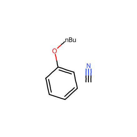 C#N.CCCCOc1ccccc1